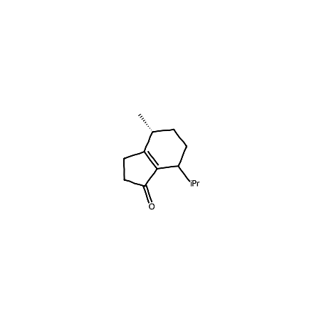 CC(C)C1CC[C@@H](C)C2=C1C(=O)CC2